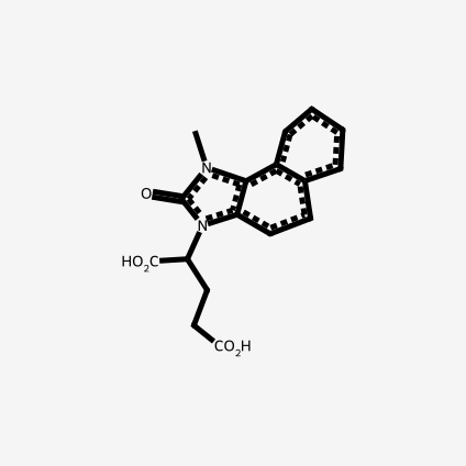 Cn1c(=O)n(C(CCC(=O)O)C(=O)O)c2ccc3ccccc3c21